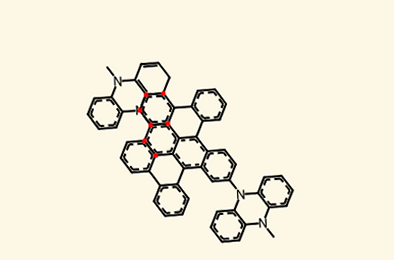 CN1C2=C(CCC=C2)N(c2ccc3c(-c4ccccc4-c4ccccc4)c4cc(N5c6ccccc6N(C)c6ccccc65)ccc4c(-c4ccccc4-c4ccccc4)c3c2)c2ccccc21